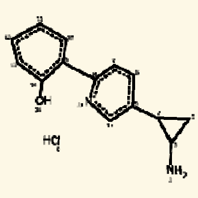 Cl.NC1CC1c1ccc(-c2ccccc2O)nc1